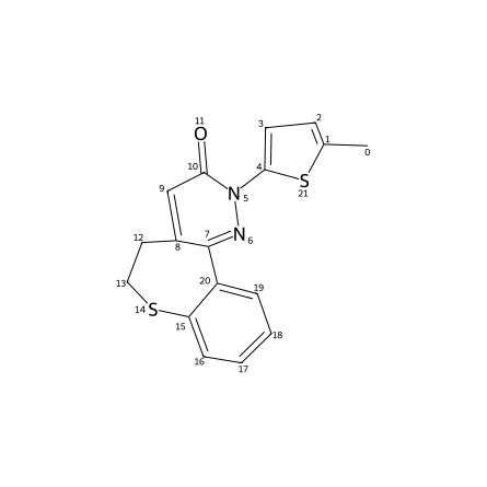 Cc1ccc(-n2nc3c(cc2=O)CCSc2ccccc2-3)s1